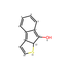 OC1=c2ccccc2=C2C=CSC12